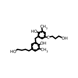 Cc1cc(CCCCO)cc(Cc2cc(CCCCO)cc(C)c2O)c1O